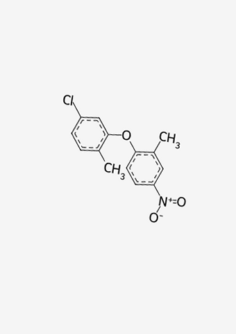 Cc1cc([N+](=O)[O-])ccc1Oc1cc(Cl)ccc1C